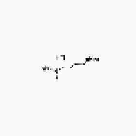 CCCCCCCCCCN(C)CCCC.Cl